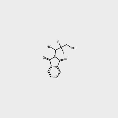 O=C1c2ccccc2C(=O)N1C(O)C(F)(F)CO